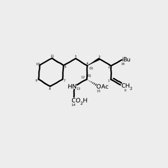 C=CC(C[C@H](CC1CCCCC1)[C@@H](NC(=O)O)OC(C)=O)C(C)CC